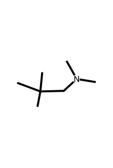 CN(C)CC(C)(C)C